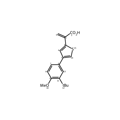 C=C(C(=O)O)c1cc(-c2ccc(OC)c(C(C)(C)C)c2)cs1